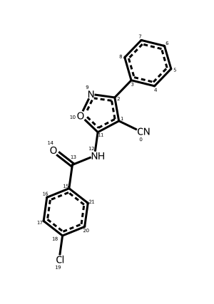 N#Cc1c(-c2ccccc2)noc1NC(=O)c1ccc(Cl)cc1